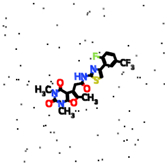 Cc1oc2c(c1CC(=O)Nc1nc(-c3cc(C(F)(F)F)ccc3F)cs1)c(=O)n(C)c(=O)n2C